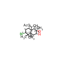 CC(=O)OC[C@]12CC[C@H](Br)C(C)(C)[C@H]1CC[C@](C)(O)[C@H]2C